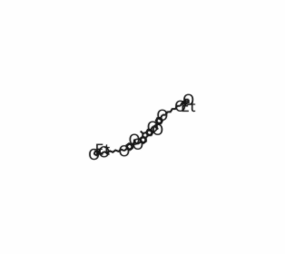 CCC1(COCCCCCCOc2ccc(C(=O)Oc3ccc4c(c3)C(C)c3cc(OC(=O)c5ccc(OCCCCCCOCC6(CC)COC6)cc5)ccc3-4)cc2)COC1